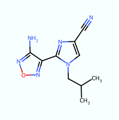 CC(C)Cn1cc(C#N)nc1-c1nonc1N